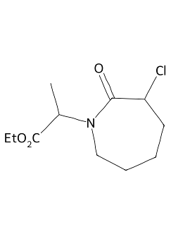 CCOC(=O)C(C)N1CCCCC(Cl)C1=O